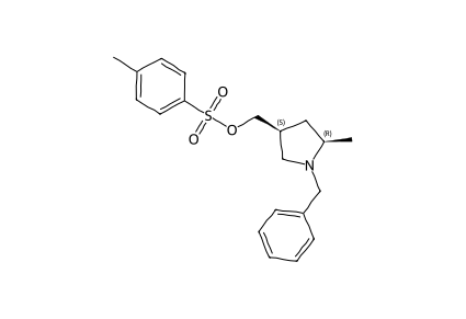 Cc1ccc(S(=O)(=O)OC[C@H]2C[C@@H](C)N(Cc3ccccc3)C2)cc1